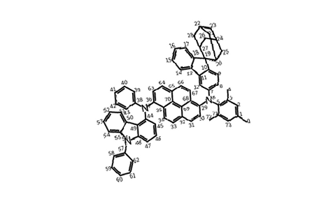 Cc1cc(C)c(N(c2ccc3c(c2)-c2ccccc2C32C3CC4CC(C3)CC2C4)c2ccc3ccc4c(N(c5ccccc5)c5cccc6c5c5ccccc5n6-c5ccccc5)ccc5ccc2c3c54)c(C)c1